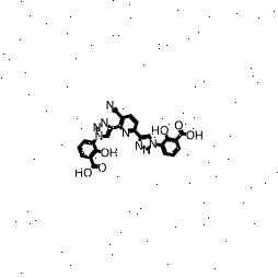 N#Cc1ccc(-c2cn(-c3cccc(C(=O)O)c3O)nn2)nc1-c1cn(-c2cccc(C(=O)O)c2O)nn1